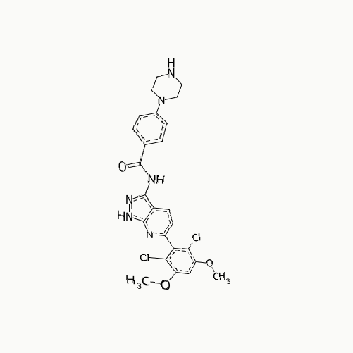 COc1cc(OC)c(Cl)c(-c2ccc3c(NC(=O)c4ccc(N5CCNCC5)cc4)n[nH]c3n2)c1Cl